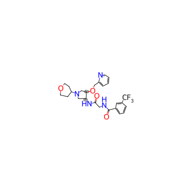 O=C(CNC(=O)c1cccc(C(F)(F)F)c1)N[C@@H]1CN(C2CCOCC2)C[C@H]1OCc1ccccn1